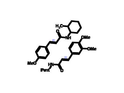 CCCC(C)NC(=O)/C=C/c1ccc(OC)c(OC)c1.COc1ccc(/C=C/C(=O)NC2CCCCC2C)cc1